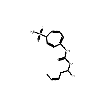 C/C=C\CC(CC)NC(=O)NC1=CC=CC(S(N)(=O)=O)C=C1